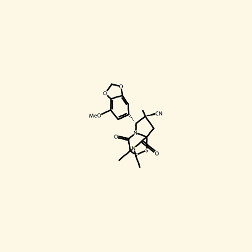 COc1cc([C@H]2N3C(=O)C4(C)SSC3(C[C@]2(C)C#N)C(=O)N4C)cc2c1OCO2